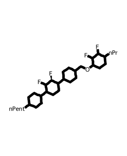 CCCCCC1CCC(C2CCC(C3CCC(COC4CCC(CCC)C(F)C4F)CC3)[C@H](F)C2F)CC1